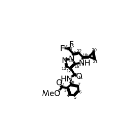 COC(=O)c1ccccc1NC(=O)c1cnn2c1NC(=C1C=C1)C=C2C(F)F